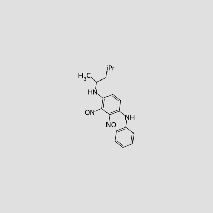 CC(C)CC(C)Nc1ccc(Nc2ccccc2)c(N=O)c1N=O